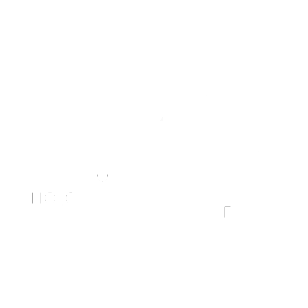 O=C(O)OCc1ccccc1F